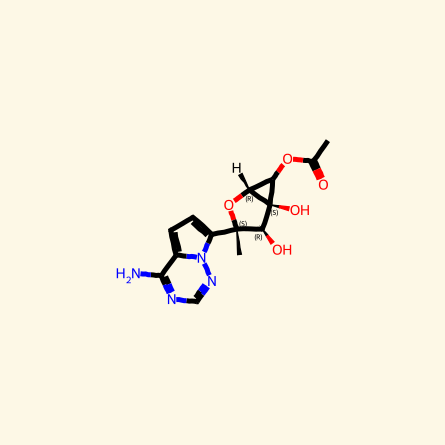 CC(=O)OC1[C@H]2O[C@@](C)(c3ccc4c(N)ncnn34)[C@H](O)[C@@]12O